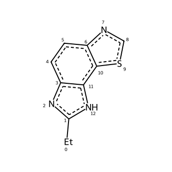 CCc1nc2ccc3ncsc3c2[nH]1